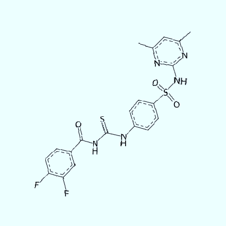 Cc1cc(C)nc(NS(=O)(=O)c2ccc(NC(=S)NC(=O)c3ccc(F)c(F)c3)cc2)n1